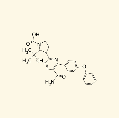 CC(C)(C)C1C(c2ccc(C(N)=O)c(-c3ccc(Oc4ccccc4)cc3)n2)CCN1C(=O)O